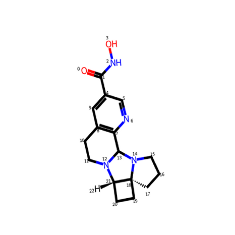 O=C(NO)c1cnc2c(c1)CCN1C2N2CCC[C@@]23CC[C@H]13